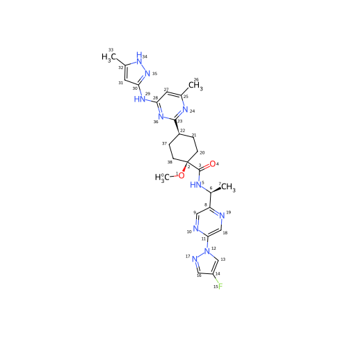 CO[C@]1(C(=O)N[C@@H](C)c2cnc(-n3cc(F)cn3)cn2)CC[C@H](c2nc(C)cc(Nc3cc(C)[nH]n3)n2)CC1